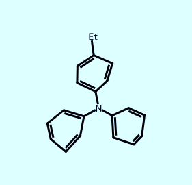 [CH2]Cc1ccc(N(c2ccccc2)c2ccccc2)cc1